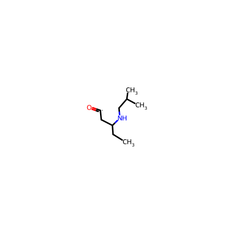 CCC(C[C]=O)NCC(C)C